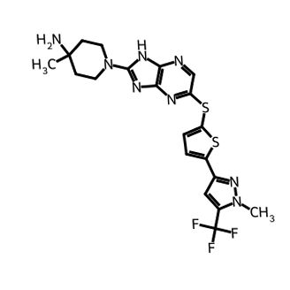 Cn1nc(-c2ccc(Sc3cnc4[nH]c(N5CCC(C)(N)CC5)nc4n3)s2)cc1C(F)(F)F